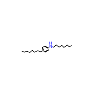 CCCCCCCCNc1ccc(CCCCCCCC)cc1